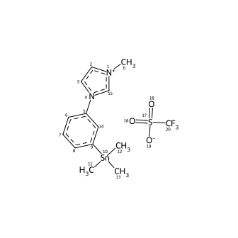 C[n+]1ccn(-c2ccc[c]([Sn]([CH3])([CH3])[CH3])c2)c1.O=S(=O)([O-])C(F)(F)F